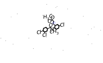 COC(=O)/C=C/c1cc(Cl)ccc1N(C)C(=O)c1ccc(Cl)c(Cl)c1